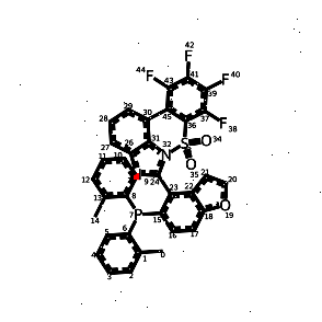 Cc1ccccc1P(c1ccccc1C)c1ccc2occc2c1-c1nc2cccc3c2n1S(=O)(=O)c1c(F)c(F)c(F)c(F)c1-3